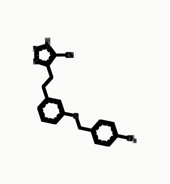 N#Cc1[nH]nnc1CCc1cccc(OCc2ccc(C(F)(F)F)cc2)c1